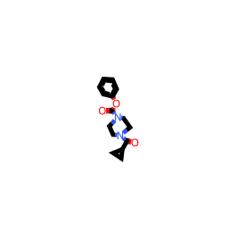 O=C(Oc1ccccc1)N1CCN(C(=O)C2CC2)CC1